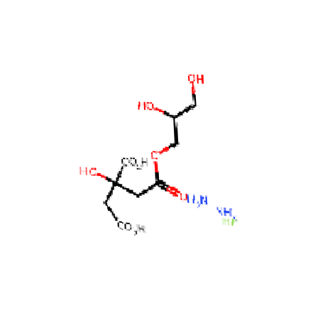 F.N.N.O=C(O)CC(O)(CC(=O)OCC(O)CO)C(=O)O